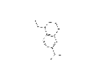 CCN1CCOc2cc(C(C)C)ccc21